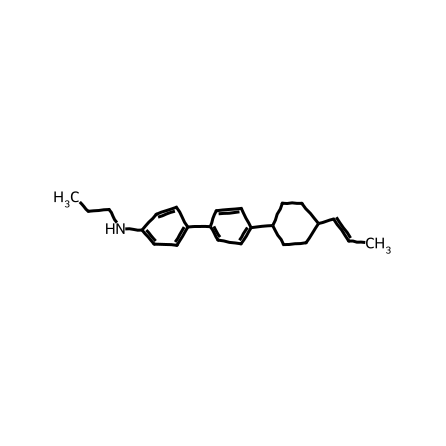 C/C=C/C1CCC(c2ccc(-c3ccc(NCCC)cc3)cc2)CC1